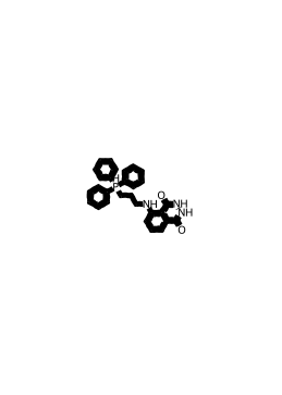 O=c1[nH][nH]c(=O)c2c(NCCC[PH](c3ccccc3)(c3ccccc3)c3ccccc3)cccc12